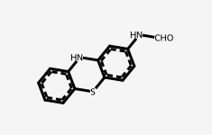 O=CNc1ccc2c(c1)Nc1ccccc1S2